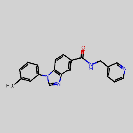 Cc1cccc(-n2cnc3cc(C(=O)NCc4cccnc4)ccc32)c1